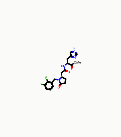 COC(=O)[C@H](Cc1c[nH]cn1)NC(=O)C[C@H]1CCC(=O)N1Cc1cccc(F)c1F